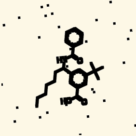 CCCCCCC(NC(=O)c1ccccc1)c1cc(C(=O)O)cc(C(C)(C)C)c1